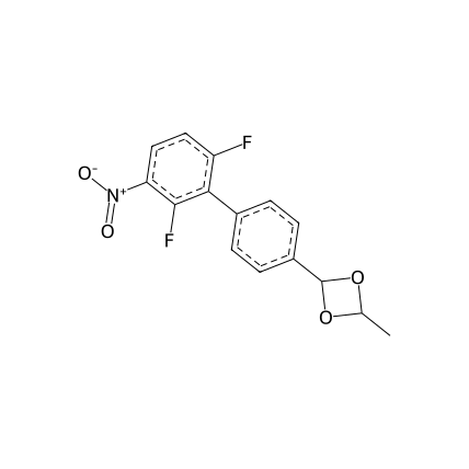 CC1OC(c2ccc(-c3c(F)ccc([N+](=O)[O-])c3F)cc2)O1